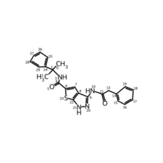 CC(C)(NC(=O)c1cc2c(NC(=O)Cc3ccccc3)n[nH]c2s1)c1ccccc1